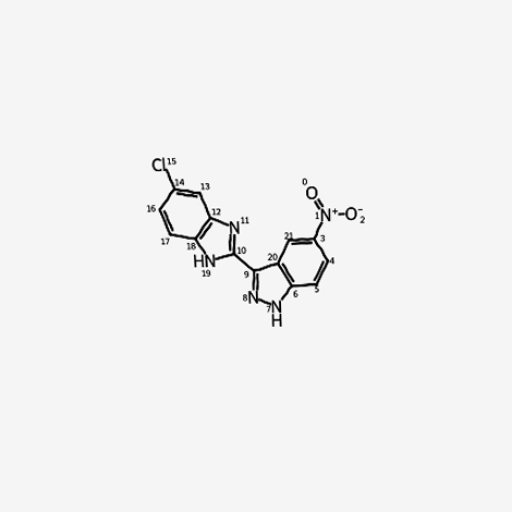 O=[N+]([O-])c1ccc2[nH]nc(-c3nc4cc(Cl)ccc4[nH]3)c2c1